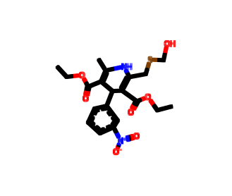 CCOC(=O)C1=C(C)NC(CSCO)=C(C(=O)OCC)C1c1cccc([N+](=O)[O-])c1